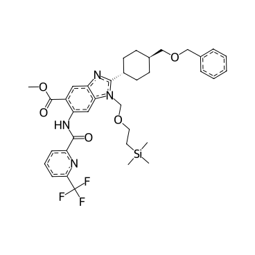 COC(=O)c1cc2nc([C@H]3CC[C@H](COCc4ccccc4)CC3)n(COCC[Si](C)(C)C)c2cc1NC(=O)c1cccc(C(F)(F)F)n1